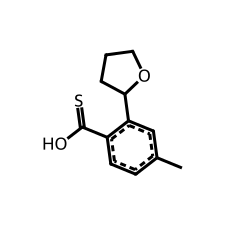 Cc1ccc(C(O)=S)c(C2CCCO2)c1